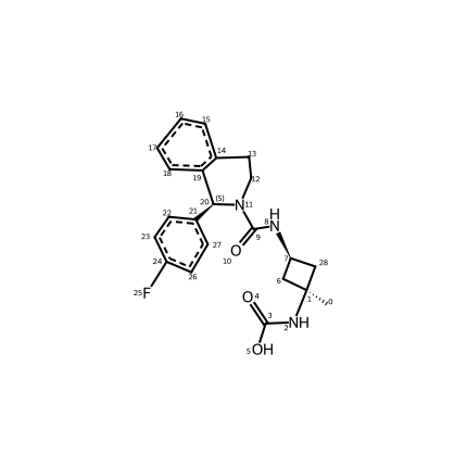 C[C@]1(NC(=O)O)C[C@@H](NC(=O)N2CCc3ccccc3[C@@H]2c2ccc(F)cc2)C1